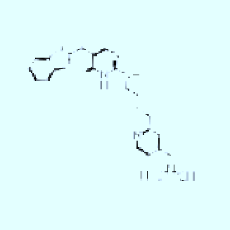 CN(C)Cc1ccnc(CSCCNc2ncc(CC3Oc4ccccc4O3)c(=O)[nH]2)c1